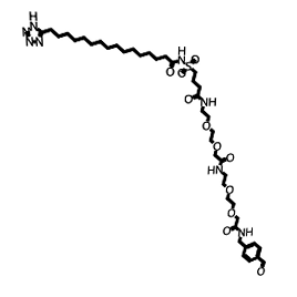 O=Cc1ccc(CNC(=O)COCCOCCNC(=O)COCCOCCNC(=O)CCCS(=O)(=O)NC(=O)CCCCCCCCCCCCCCCc2nnn[nH]2)cc1